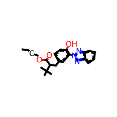 CCCCOC(=O)C(Cc1ccc(O)c(-n2nc3ccccc3n2)c1)C(C)(C)C